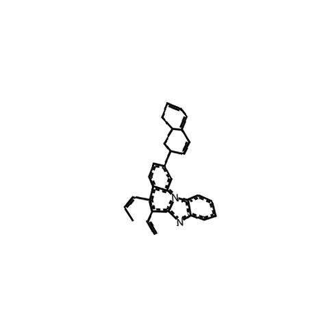 C=Cc1c(/C=C\C)c2ccc(C3C=CC4=CC=CCC4C3)cc2n2c1nc1ccccc12